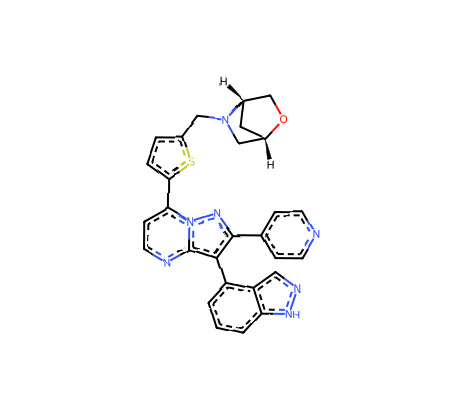 c1cc(-c2c(-c3ccncc3)nn3c(-c4ccc(CN5C[C@@H]6C[C@H]5CO6)s4)ccnc23)c2cn[nH]c2c1